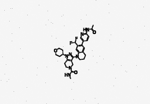 CNC(=O)N1CCc2c(c(N3CCCc4cc(-c5ccc(NC(C)=O)nc5)c(C(F)F)cc43)nn2C2CCOCC2)C1